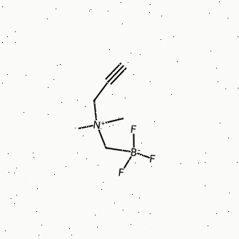 C#CC[N+](C)(C)C[B-](F)(F)F